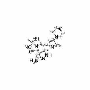 CCC(C)(C#N)n1cc(-c2cc(N3CCOCC3)n(C)n2)c2[nH]nc(N)c2c1=O